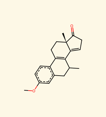 COc1ccc2c(c1)CC(C)C1=C2CC[C@]2(C)C(=O)CC=C12